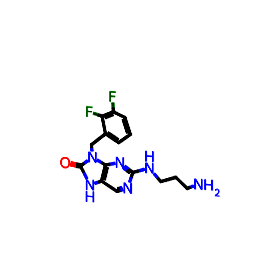 NCCCNc1ncc2[nH]c(=O)n(Cc3cccc(F)c3F)c2n1